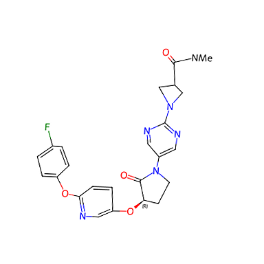 CNC(=O)C1CN(c2ncc(N3CC[C@@H](Oc4ccc(Oc5ccc(F)cc5)nc4)C3=O)cn2)C1